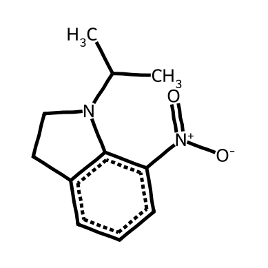 CC(C)N1CCc2cccc([N+](=O)[O-])c21